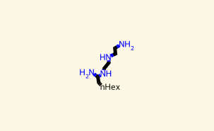 CCCCCCCC(N)NCCNCCN